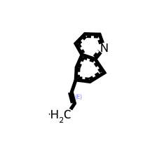 [CH2]/C=C/c1ccc2ncccc2c1